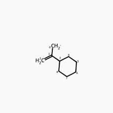 [CH2]C(=C)C1CCCCC1